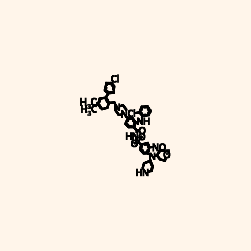 CC1(C)CCC(CN2CCN(c3ccc(C(=O)NS(=O)(=O)c4ccc(N(C5CCNCC5)C5CCOCC5)c([N+](=O)[O-])c4)c(Nc4ccccc4Cl)c3)CC2)=C(c2ccc(Cl)cc2)C1